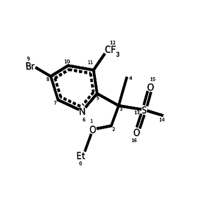 CCOCC(C)(c1ncc(Br)cc1C(F)(F)F)S(C)(=O)=O